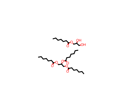 CCCCCCC(=O)OCC(COC(=O)CCCCCC)OC(=O)CCCCCC.CCCCCCC(=O)OCC(O)CO